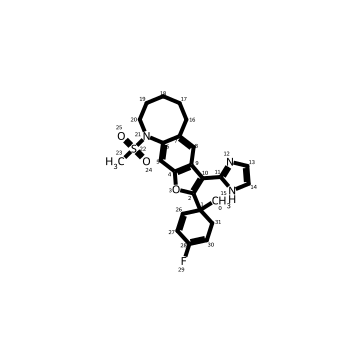 CC1(c2oc3cc4c(cc3c2-c2ncc[nH]2)CCCCCN4S(C)(=O)=O)C=CC(F)=CC1